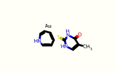 C1=CC=CNC=C1.Cc1c[nH]c(=S)[nH]c1=O.[Au]